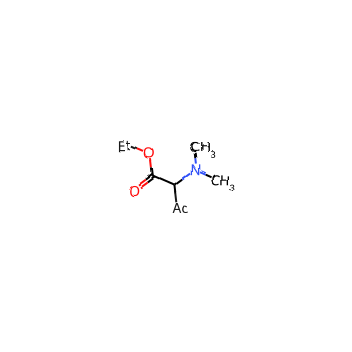 CCOC(=O)C(C(C)=O)N(C)C